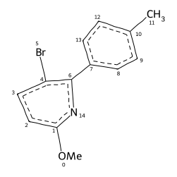 COc1ccc(Br)c(-c2ccc(C)cc2)n1